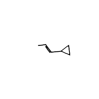 O=[C]C=CC1CC1